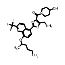 CCCCC(C)Oc1ccc(-c2nc(C(=O)N3CCC(O)CC3)c(CN)o2)c2ccc(C(F)(F)F)nc12